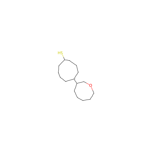 SC1CCCC[C](C2CCCCCOC2)CCC1